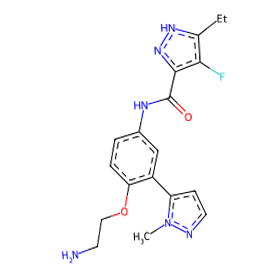 CCc1[nH]nc(C(=O)Nc2ccc(OCCN)c(-c3ccnn3C)c2)c1F